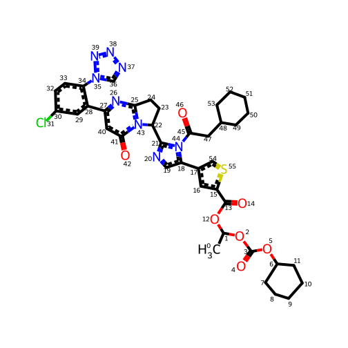 CC(OC(=O)OC1CCCCC1)OC(=O)c1cc(-c2cnc(C3CCc4nc(-c5cc(Cl)ccc5-n5cnnn5)cc(=O)n43)n2C(=O)CC2CCCCC2)cs1